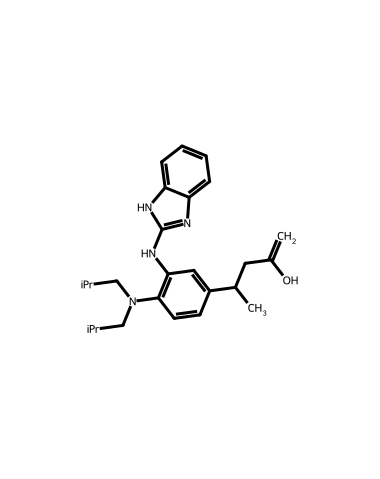 C=C(O)CC(C)c1ccc(N(CC(C)C)CC(C)C)c(Nc2nc3ccccc3[nH]2)c1